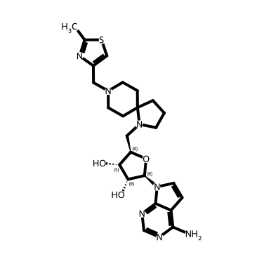 Cc1nc(CN2CCC3(CCCN3C[C@H]3O[C@@H](n4ccc5c(N)ncnc54)[C@H](O)[C@@H]3O)CC2)cs1